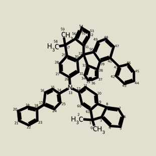 CC1(C)c2ccccc2-c2ccc(N(c3ccc(-c4ccccc4)cc3)c3ccc4c(c3)C3(c5ccccc5-c5c(-c6ccccc6)cccc53)c3ccccc3C4(C)C)cc21